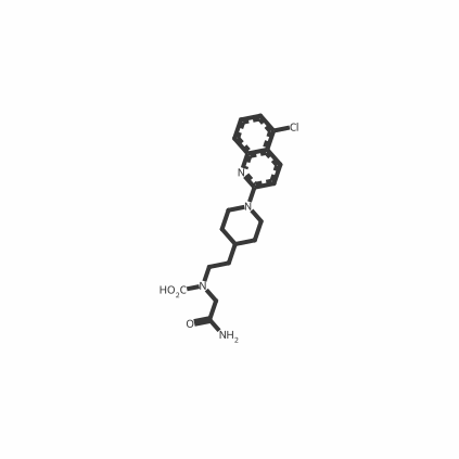 NC(=O)CN(CCC1CCN(c2ccc3c(Cl)cccc3n2)CC1)C(=O)O